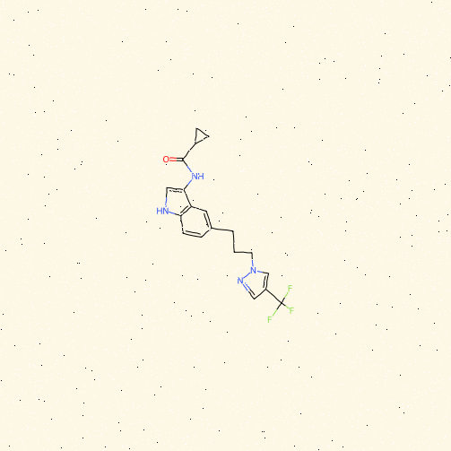 O=C(Nc1c[nH]c2ccc(CCCn3cc(C(F)(F)F)cn3)cc12)C1CC1